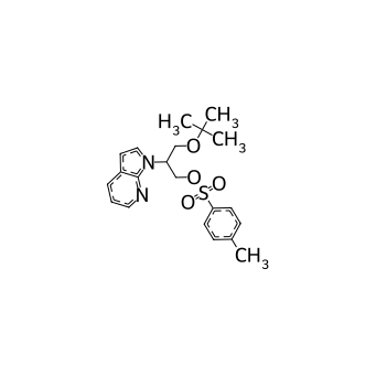 Cc1ccc(S(=O)(=O)OCC(COC(C)(C)C)n2ccc3cccnc32)cc1